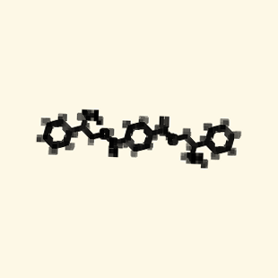 NC(COBc1ccc(BOCC(N)c2ccccc2)cc1)c1ccccc1